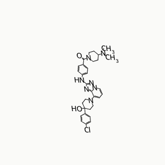 CN(C)C1CCN(C(=O)c2ccc(Nc3nc4c(N5CCC(O)(c6ccc(Cl)cc6)CC5)cccn4n3)cc2)CC1